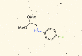 COC(CNc1ccc(F)cc1)OC